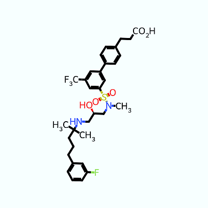 CN(C[C@H](O)CNC(C)(C)CCCc1cccc(F)c1)S(=O)(=O)c1cc(-c2ccc(CCC(=O)O)cc2)cc(C(F)(F)F)c1